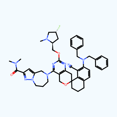 CN(C)C(=O)c1cc2n(n1)CCCN(c1nc(OC[C@@H]3C[C@@H](F)CN3C)nc3c1COC1(CCCc4ccc(N(Cc5ccccc5)Cc5ccccc5)c(C#N)c41)C3)C2